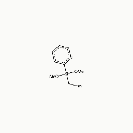 CO[Si](CC(C)C)(OC)c1ccccn1